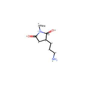 CCCCCCN1C(=O)CC(CCCN)C1=O